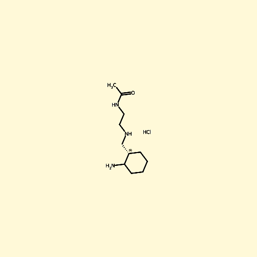 CC(=O)NCCNC[C@@H]1CCCCC1N.Cl